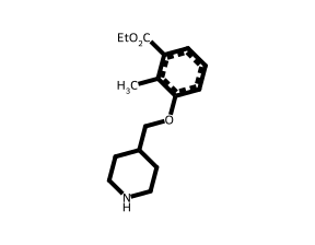 CCOC(=O)c1cccc(OCC2CCNCC2)c1C